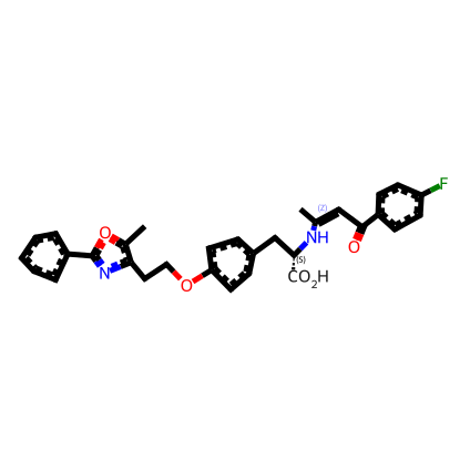 C/C(=C/C(=O)c1ccc(F)cc1)N[C@@H](Cc1ccc(OCCc2nc(-c3ccccc3)oc2C)cc1)C(=O)O